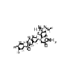 CCN(N)c1ccc(C(CC(=O)ON)c2ccc3c(c2)CN(C(=O)c2ccc(C)c(C)c2)CC3)c(C)c1N